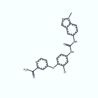 Cn1ncc2cc(NC(=O)Nc3ccc(Oc4ccnc(C(N)=O)c4)c(Cl)c3)ccc21